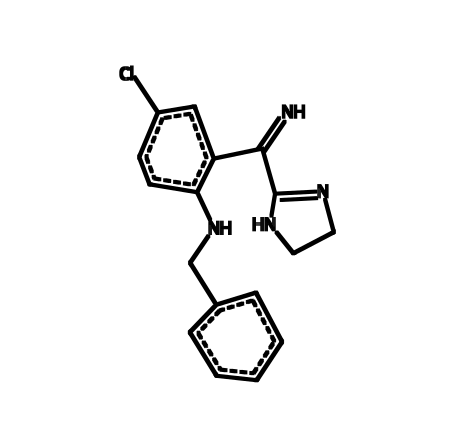 N=C(C1=NCCN1)c1cc(Cl)ccc1NCc1ccccc1